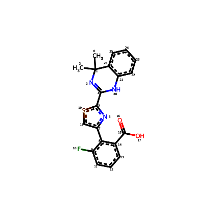 CC1(C)N=C(c2nc(-c3c(F)cccc3C(=O)O)cs2)Nc2ccccc21